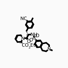 CCOC(=O)[C@H]1CC=CCN1C(=O)[C@H](Cc1ccc(C)c(C#N)c1)NS(=O)(=O)c1ccc2c(c1)CCN(C)CC2